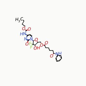 CCCCOC(=O)Nc1ccn(C2OC(COC(=O)CCCCC(=O)Nc3ccccc3)C(O)C2(F)F)c(=O)n1